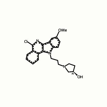 COc1ccc2c(c1)c1nc(Cl)c3ccccc3c1n2CCCN1CC[C@@H](O)C1